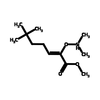 COC(=O)/C(=C/CCC(C)(C)C)O[SiH](C)C